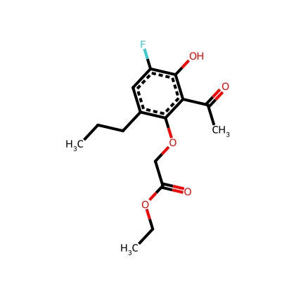 CCCc1cc(F)c(O)c(C(C)=O)c1OCC(=O)OCC